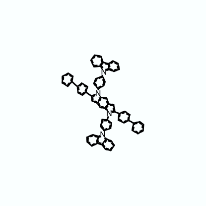 c1ccc(-c2ccc(-c3cc4cc5c(cc(-c6ccc(-c7ccccc7)cc6)n5-c5ccc(-n6c7ccccc7c7ccccc76)cc5)cc4n3-c3ccc(-n4c5ccccc5c5ccccc54)cc3)cc2)cc1